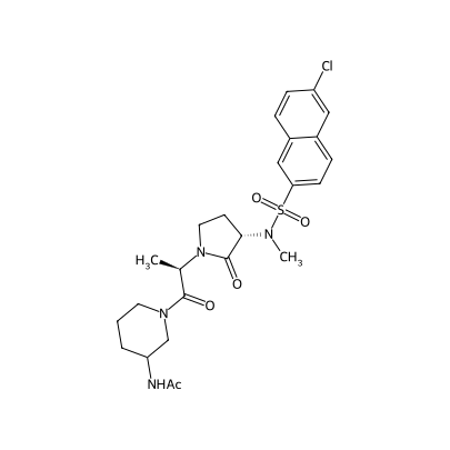 CC(=O)NC1CCCN(C(=O)[C@@H](C)N2CC[C@H](N(C)S(=O)(=O)c3ccc4cc(Cl)ccc4c3)C2=O)C1